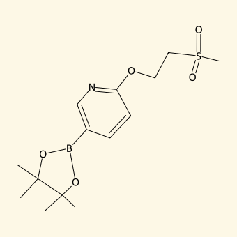 CC1(C)OB(c2ccc(OCCS(C)(=O)=O)nc2)OC1(C)C